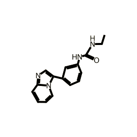 CCNC(=O)Nc1cccc(-c2cnc3ccccn23)c1